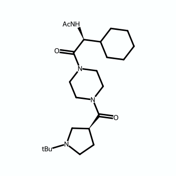 CC(=O)N[C@H](C(=O)N1CCN(C(=O)[C@H]2CCN(C(C)(C)C)C2)CC1)C1CCCCC1